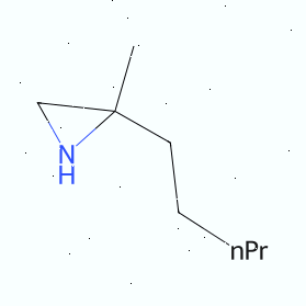 CCCCCC1(C)CN1